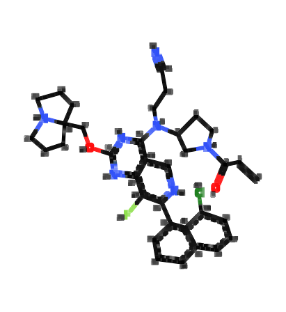 C=CC(=O)N1CCC(N(CCC#N)c2nc(OCC34CCCN3CCC4)nc3c(F)c(-c4cccc5cccc(Cl)c45)ncc23)C1